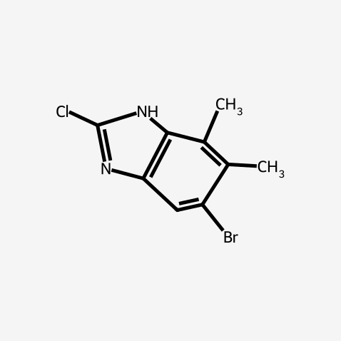 Cc1c(Br)cc2nc(Cl)[nH]c2c1C